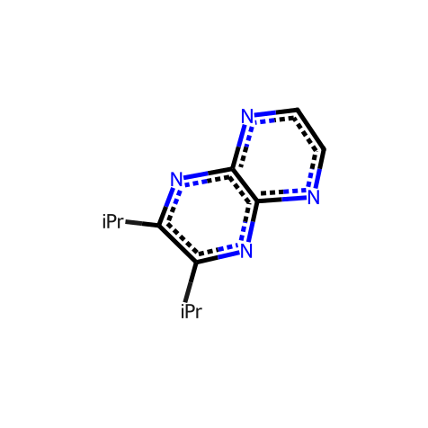 CC(C)c1nc2nccnc2nc1C(C)C